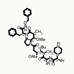 CC[C@H](C)[C@@H](C(CC(=O)N1CCC[C@H]1[C@H](OC)[C@@H](C)C(=O)N[C@@H](Cc1ccccc1)C(=O)NOCc1ccccc1)OC)N(C)C(=O)[C@@H](NC(=O)[C@H](C(C)C)N1CCNCC1)C(C)C